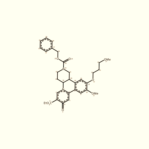 CCOC(=O)c1cn2c(cc1=O)-c1cc(OC)c(OCCCOC)cc1C1CN(C(=O)OCc3ccccc3)CCC12